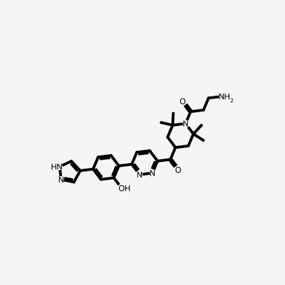 CC1(C)CC(C(=O)c2ccc(-c3ccc(-c4cn[nH]c4)cc3O)nn2)CC(C)(C)N1C(=O)CCN